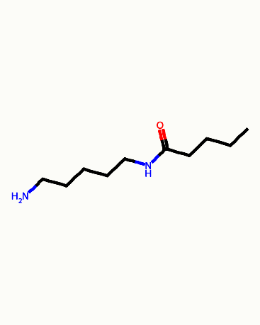 CCCCC(=O)NCCCCCN